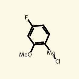 COc1cc(F)cc[c]1[Mg][Cl]